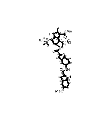 COC(=O)c1c(C)[nH]c2c(O[Si](C)(C)C(C)(C)C)cc3c(c12)[C@H](CCl)CN3C(=O)c1cc2cc(NC(=O)c3cc4cc(OC)ccc4[nH]3)ccc2o1